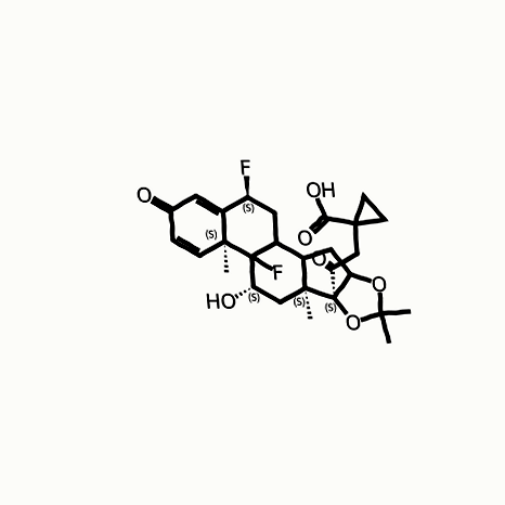 CC1(C)OC2CC3C4C[C@H](F)C5=CC(=O)C=C[C@]5(C)C4(F)[C@@H](O)C[C@]3(C)[C@]2(C(=O)CC2(C(=O)O)CC2)O1